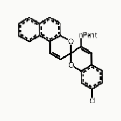 CCCCCC1=Cc2ccc(Cl)cc2OC12C=Cc1c(ccc3ccccc13)O2